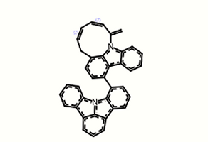 C=C1/C=C\C=C/Cc2ccc(-c3cccc4c5cccc6c7ccccc7n(c34)c65)c3c4ccccc4n1c23